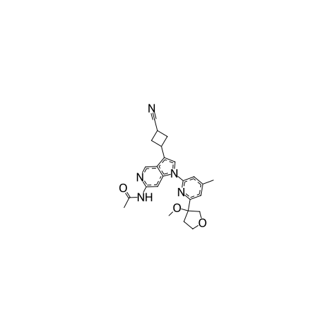 COC1(c2cc(C)cc(-n3cc(C4CC(C#N)C4)c4cnc(NC(C)=O)cc43)n2)CCOC1